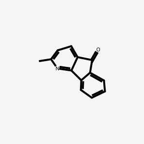 Cc1ccc2c(n1)-c1ccccc1C2=O